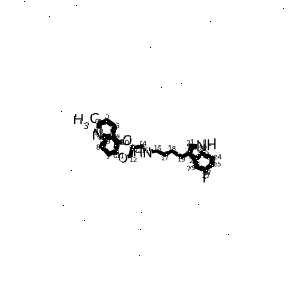 Cc1ccc2c3c(ccc2n1)OCC(CNCCCCc1c[nH]c2ccc(F)cc12)O3